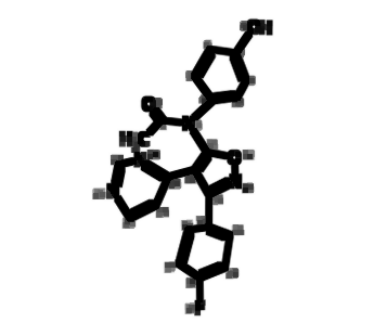 CC(=O)N(c1ccc(O)cc1)c1onc(-c2ccc(F)cc2)c1-c1ccncn1